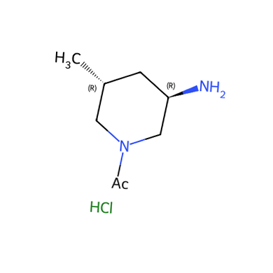 CC(=O)N1C[C@H](C)C[C@@H](N)C1.Cl